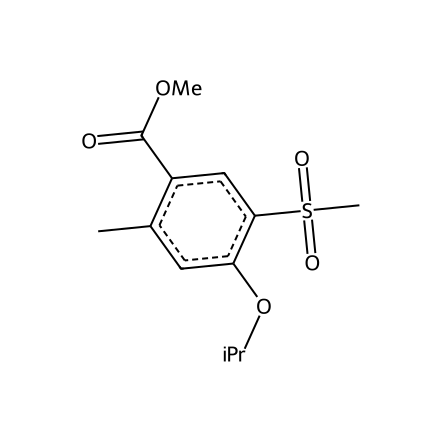 COC(=O)c1cc(S(C)(=O)=O)c(OC(C)C)cc1C